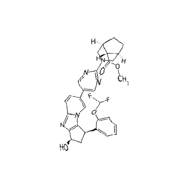 COC(=O)[C@@H]1[C@@H]2CC[C@H]1CN(c1ncc(-c3ccc4nc5c(n4c3)[C@@H](c3ccccc3OC(F)F)C[C@H]5O)cn1)C2